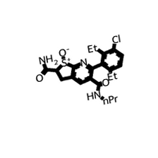 CCCNC(=O)c1cc2c(nc1-c1c(CC)ccc(Cl)c1CC)[S+]([O-])C(C(N)=O)C2